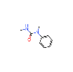 CNC(=O)N(C)c1ccccc1